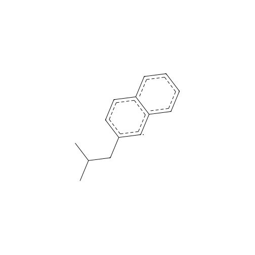 CC(C)Cc1[c]c2ccccc2cc1